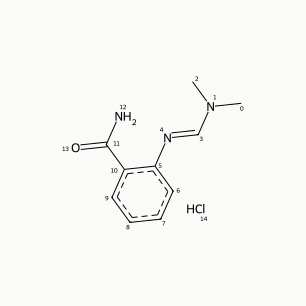 CN(C)C=Nc1ccccc1C(N)=O.Cl